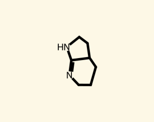 C1CN=C2NCCC2C1